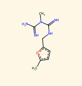 Cc1ccc(CNC(=N)N(C)C(=N)N)o1